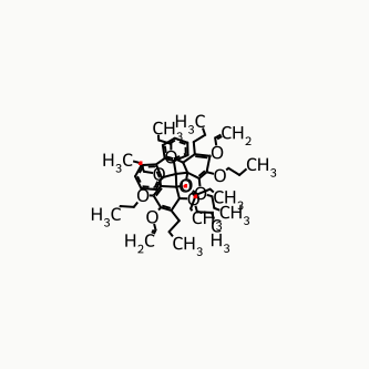 C=COC1=C(CCC)C(OCCC)C(OCCC)(C2(C3(OCCC)C(OCCC)=C(OCCC)C(OC=C)=C(CCC)C3OCCC)c3ccccc3-c3ccccc32)C(OCCC)=C1OCCC